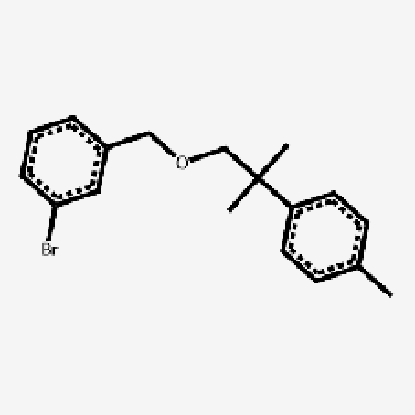 Cc1ccc(C(C)(C)COCc2cccc(Br)c2)cc1